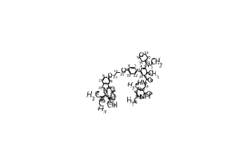 CCN(c1cc(-c2ccc(OCCCOc3ccc4c(c3)C(=O)N(C(C(=O)O)C(C)C)C4)cc2)cc(C(=O)NCc2c(C)cc(C)[nH]c2=O)c1C)C1CCOCC1